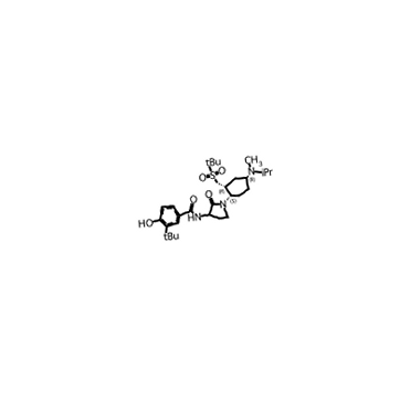 CC(C)N(C)[C@@H]1CC[C@H](N2CCC(NC(=O)c3ccc(O)c(C(C)(C)C)c3)C2=O)[C@H](CS(=O)(=O)C(C)(C)C)C1